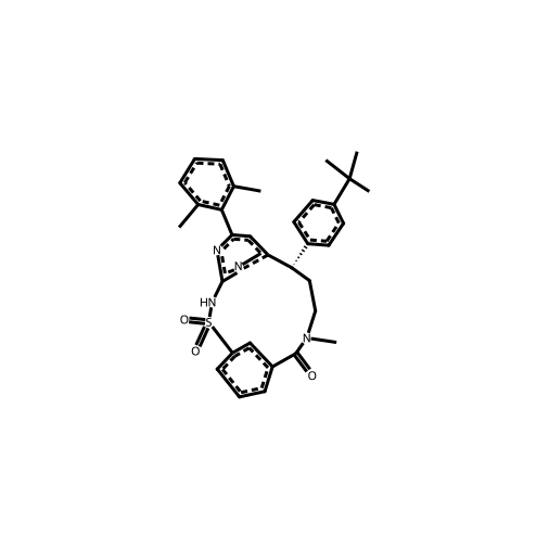 Cc1cccc(C)c1-c1cc2nc(n1)NS(=O)(=O)c1cccc(c1)C(=O)N(C)CC[C@H]2c1ccc(C(C)(C)C)cc1